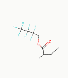 CCC(C)C(=O)OCC(F)(F)C(F)(F)C(F)(F)F